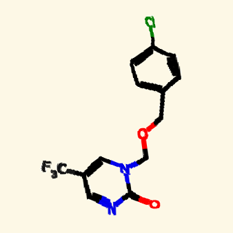 O=c1ncc(C(F)(F)F)cn1COCc1ccc(Cl)cc1